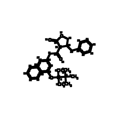 CC(C)(C)[Si](C)(C)Oc1cc(CC(=O)N2C(=O)OCC2Cc2ccccc2)nc2ccccc12